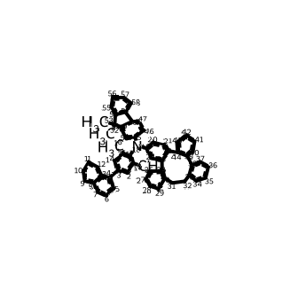 Cc1cc(-c2cccc3ccccc23)cc(C)c1N(c1ccc2c(c1)-c1ccccc1CCc1ccccc1-c1ccccc1-2)c1ccc2c(c1)C(C)(C)c1ccccc1-2